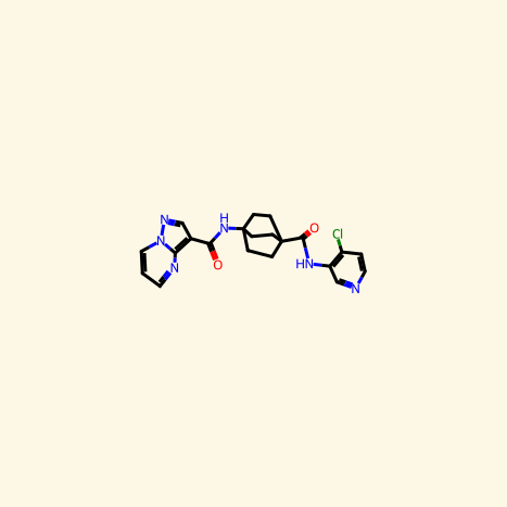 O=C(NC12CCC(C(=O)Nc3cnccc3Cl)(CC1)CC2)c1cnn2cccnc12